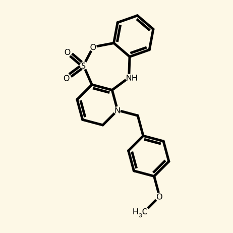 COc1ccc(CN2CC=CC3=C2Nc2ccccc2OS3(=O)=O)cc1